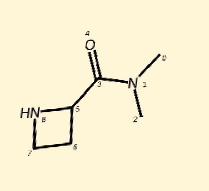 CN(C)C(=O)C1CCN1